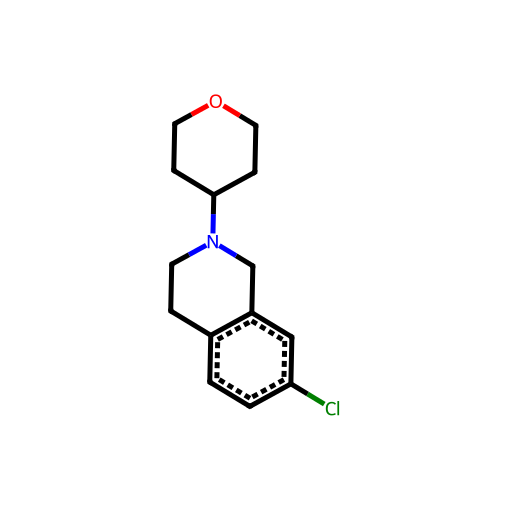 Clc1ccc2c(c1)CN(C1CCOCC1)CC2